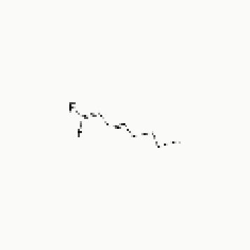 [CH2]CCCC=CC=C(F)F